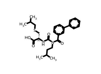 CC(C)CCN(C(=O)N[C@@H](CSCC(C)C)C(=O)O)C(=O)c1cccc(-c2ccccc2)c1